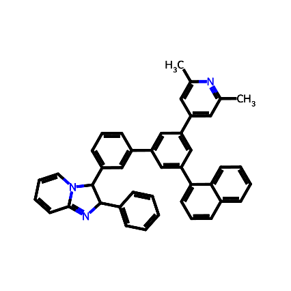 Cc1cc(-c2cc(-c3cccc(C4C(c5ccccc5)N=C5C=CC=CN54)c3)cc(-c3cccc4ccccc34)c2)cc(C)n1